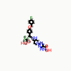 O=C(NO)c1cnc(N2CCC(CNC3CC3c3ccc(OCc4ccc(F)cc4)cc3)CC2)nc1.O=C(O)C(F)(F)F